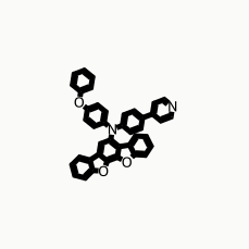 c1ccc(Oc2ccc(N(c3ccc(-c4ccncc4)cc3)c3cc4c5ccccc5oc4c4oc5ccccc5c34)cc2)cc1